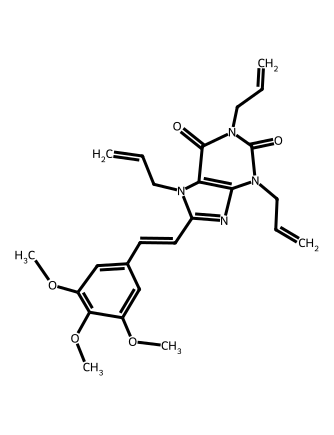 C=CCn1c(=O)c2c(nc(/C=C/c3cc(OC)c(OC)c(OC)c3)n2CC=C)n(CC=C)c1=O